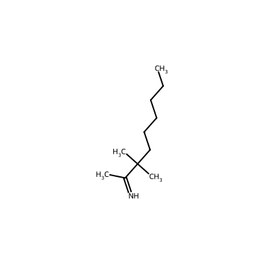 CCCCCCC(C)(C)C(C)=N